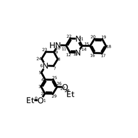 CCOc1cc(CN2CCC(Nc3cnc(-c4ccccc4)nc3)CC2)cc(OCC)c1